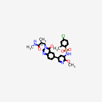 CNC(=O)[C@@H](C)Cn1cnc2ccc(-c3cnc(OC)c(NS(=O)(=O)c4ccc(Cl)cc4C)c3)cc2c1=O